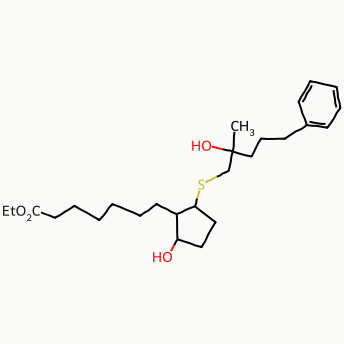 CCOC(=O)CCCCCCC1C(O)CCC1SCC(C)(O)CCCc1ccccc1